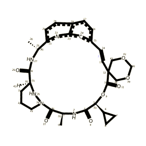 C[C@@H]1NC(=O)[C@H](C2CC2)OC(=O)C2(/C=C/c3ccc4ccc(nc4c3)[C@@H](C)NC(=O)[C@@H]3CCCN(N3)C1=O)COCOC2